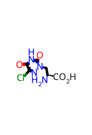 N[C@@H](Cn1nc(Cl)c(=O)[nH]c1=O)C(=O)O